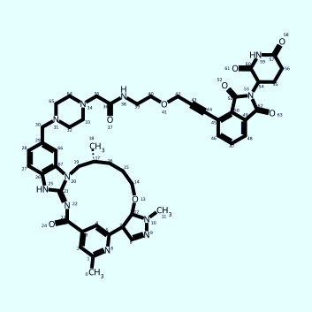 Cc1cc2cc(n1)C1C=NN(C)C1OCCC[C@@H](C)CN1/C(=N/C2=O)Nc2ccc(CN3CCN(CC(=O)NCCOCC#Cc4cccc5c4C(=O)N(C4CCC(=O)NC4=O)C5=O)CC3)cc21